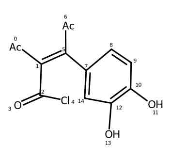 CC(=O)C(C(=O)Cl)=C(C(C)=O)c1ccc(O)c(O)c1